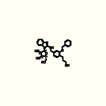 OCCCc1ccc(CNc2nc3ccccc3n2[C@@H]2O[C@H](CO)[C@@H](O)[C@H]2O)cc1OCc1ccccc1